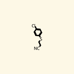 N#CCCSc1ccc(Cl)cc1